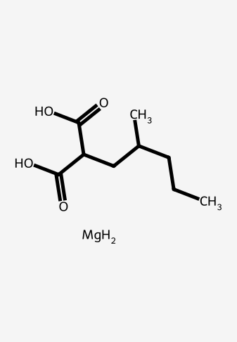 CCCC(C)CC(C(=O)O)C(=O)O.[MgH2]